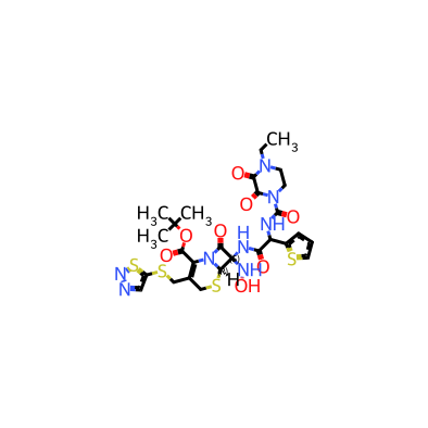 CCN1CCN(C(=O)NC(C(=O)N[C@]2(NO)C(=O)N3C(C(=O)OC(C)(C)C)=C(CSc4cnns4)CS[C@@H]32)c2cccs2)C(=O)C1=O